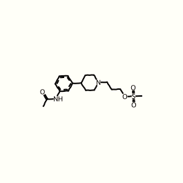 CC(=O)Nc1cccc(C2CCN(CCCOS(C)(=O)=O)CC2)c1